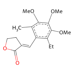 CCc1c(/C=C2\CCOC2=O)c(C)c(OC)c(OC)c1OC